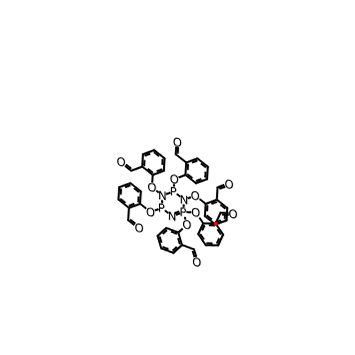 O=Cc1ccccc1ON1P(Oc2ccccc2C=O)N=P(Oc2ccccc2C=O)(Oc2ccccc2C=O)N(Oc2ccccc2C=O)P1Oc1ccccc1C=O